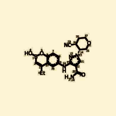 CCC1=CB(O)Oc2ccc(Nc3nn([C@H]4COCC[C@@H]4C#N)cc3C(N)=O)cc21